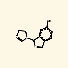 Oc1ccc2c(c1)C(N1C=NCC1)OC2